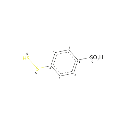 O=S(=O)(O)c1ccc(SS)cc1